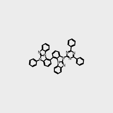 c1ccc(-c2nc(-c3ccccc3)nc(-n3c4cccc(-c5cccc6c5n5c7ccccc7nc5n6-c5ccccc5)c4n4c5ccccc5nc34)n2)cc1